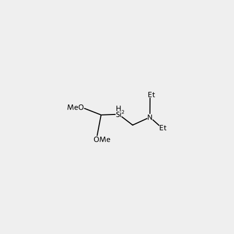 CCN(CC)C[SiH2]C(OC)OC